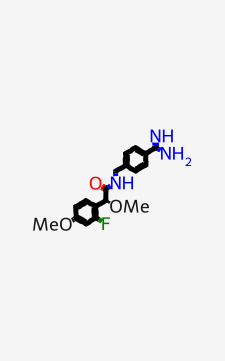 COc1ccc([C@H](OC)C(=O)NCc2ccc(C(=N)N)cc2)c(F)c1